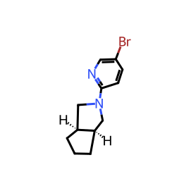 Brc1ccc(N2C[C@H]3CCC[C@H]3C2)nc1